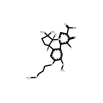 COCCCOc1cc2c(cc1OC)-c1c(F)c(=O)c(C(=O)O)cn1[C@@H]1[C@H]2CCC1(C)C